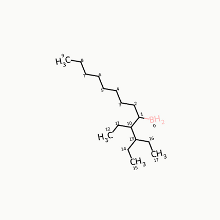 BC(CCCCCCCC)C(CC)C(CC)CC